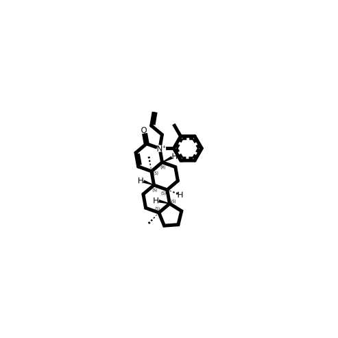 C=CC[N+]1(c2ccccc2C)C(=O)C=C[C@@]2(C)[C@H]1CC[C@H]1[C@@H]3CCC[C@@]3(C)CC[C@@H]12